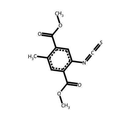 COC(=O)c1cc(N=C=S)c(C(=O)OC)cc1C